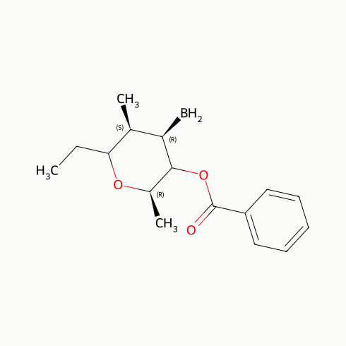 B[C@H]1C(OC(=O)c2ccccc2)[C@@H](C)OC(CC)[C@H]1C